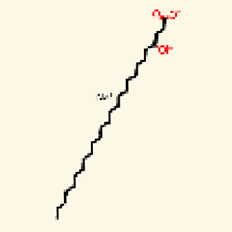 CCCCCCCCCCCCCCCCCCCCCCC(O)=CCC(=O)[O-].[Na+]